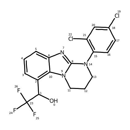 OC(c1cccc2nc3n(c12)CCCN3c1ccc(Cl)cc1Cl)C(F)(F)F